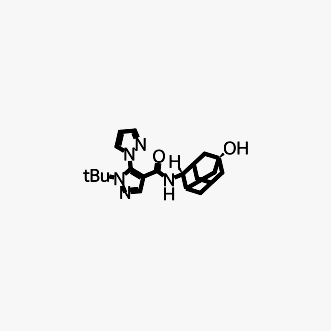 CC(C)(C)n1ncc(C(=O)N[C@H]2C3CC4CC2C[C@](O)(C4)C3)c1-n1cccn1